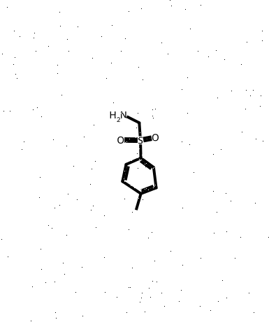 Cc1ccc(S(=O)(=O)CN)cc1